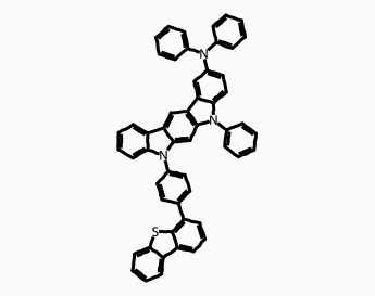 c1ccc(N(c2ccccc2)c2ccc3c(c2)c2cc4c5ccccc5n(-c5ccc(-c6cccc7c6sc6ccccc67)cc5)c4cc2n3-c2ccccc2)cc1